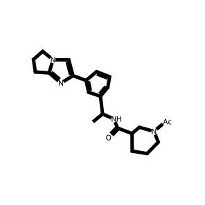 CC(=O)N1CCCC(C(=O)NC(C)c2cccc(-c3cn4c(n3)CCC4)c2)C1